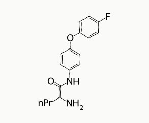 CCCC(N)C(=O)Nc1ccc(Oc2ccc(F)cc2)cc1